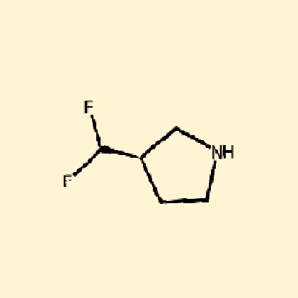 FC(F)[C@@H]1CCNC1